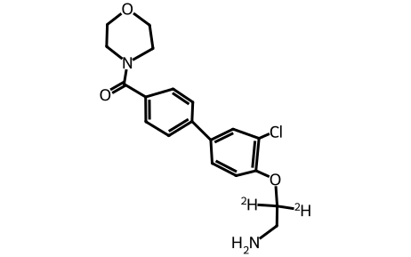 [2H]C([2H])(CN)Oc1ccc(-c2ccc(C(=O)N3CCOCC3)cc2)cc1Cl